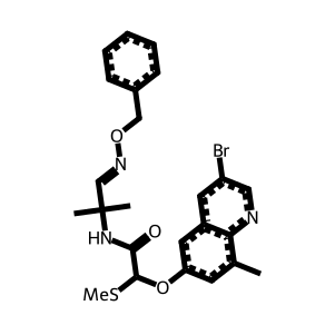 CSC(Oc1cc(C)c2ncc(Br)cc2c1)C(=O)NC(C)(C)C=NOCc1ccccc1